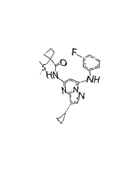 CS(C)(C)C1(C(=O)Nc2cc(Nc3cccc(F)c3)n3ncc(C4CC4)c3n2)CCC1